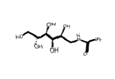 CC(C)C(=O)NC[C@H](O)[C@@H](O)[C@H](O)[C@H](O)CO